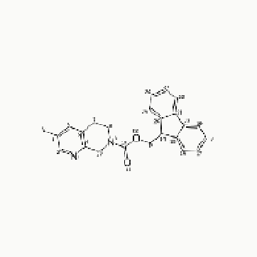 Cc1cnc2c(c1)CCN(C(=O)OCC1c3ccccc3-c3ccccc31)C2